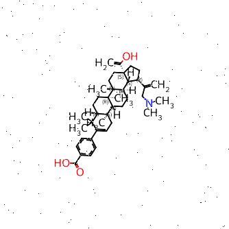 C=C(CN(C)C)[C@@H]1CC[C@]2(C(=C)O)CC[C@]3(C)[C@H](CC[C@@H]4[C@@]5(C)CC=C(c6ccc(C(=O)O)cc6)C(C)(C)[C@@H]5CC[C@]43C)[C@@H]12